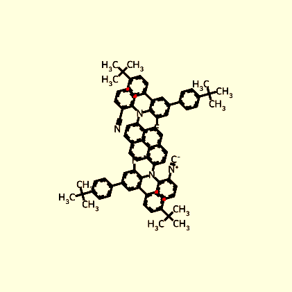 [C-]#[N+]c1ccccc1N(c1c(F)cc(-c2ccc(C(C)(C)C)cc2)cc1-c1ccc(C(C)(C)C)cc1)c1ccc2ccc3c(N(c4ccccc4C#N)c4c(F)cc(-c5ccc(C(C)(C)C)cc5)cc4-c4ccc(C(C)(C)C)cc4)ccc4ccc1c2c43